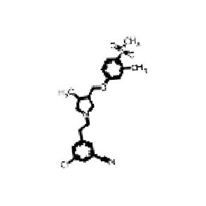 Cc1cc(OCC2CN(CCc3cc(Cl)cc(C#N)c3)CC2C)ccc1S(C)(=O)=O